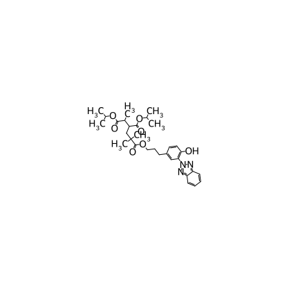 CC(C)OC(=O)C(C)C(CC(C)(C)C(=O)OCCCc1ccc(O)c(-n2nc3ccccc3n2)c1)C(=O)OC(C)C